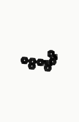 c1ccc(-c2ccc(-c3ccc(Nc4ccccc4-c4ccc5sc6ccccc6c5c4)cc3)c3ccccc23)cc1